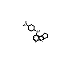 CN(C)C1CCC(Nc2ccnc3sc4c(c23)CCC4)CC1